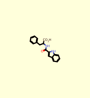 O=C(NC(Cc1ccccc1)C(=O)O)c1cc2ccccc2[nH]1